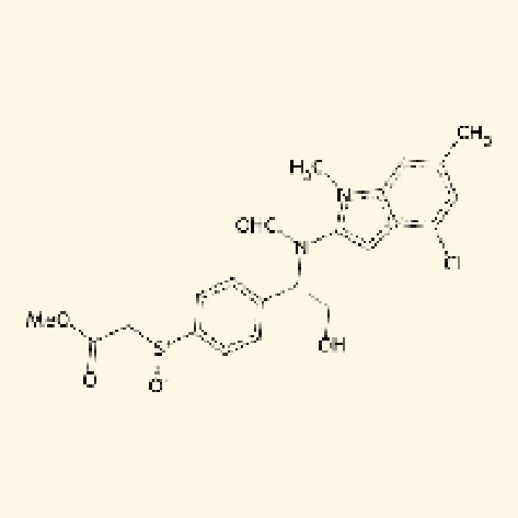 COC(=O)C[S@@+]([O-])c1ccc([C@@H](CO)N(C=O)c2cc3c(Cl)cc(C)cc3n2C)cc1